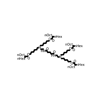 CCCCCCCCC(CCCCCC)C(=O)OCCCCCCN(CCCCCCOC(=O)C(CCCCCC)CCCCCCCC)CCNC(=O)CCCC(=O)NCCN(CCCCCCOC(=O)C(CCCCCC)CCCCCCCC)CCCCCCOC(=O)C(CCCCCC)CCCCCCCC